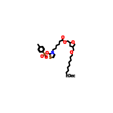 CCCCCCCCCCCCCCCCCCOCC1COC(COC(=O)CCCCCN2C=CSC2OS(=O)(=O)c2ccc(C)cc2)C1